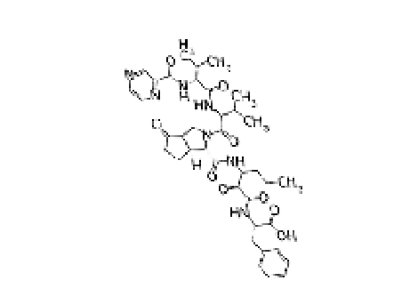 CCCC(NC(=O)[C@@H]1[C@H]2CCC(=O)C2CN1C(=O)[C@@H](NC(=O)[C@H](NC(=O)c1cnccn1)C(C)C)C(C)C)C(=O)C(=O)N[C@@H](Cc1ccccc1)C(=O)O